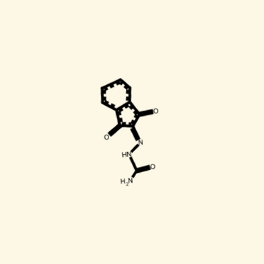 NC(=O)NN=c1c(=O)c2ccccc2c1=O